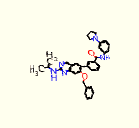 CC(C)Nc1ncc2cc(-c3cccc(C(=O)Nc4cccc(N5CCCC5)c4)c3)c(OCc3ccccc3)cc2n1